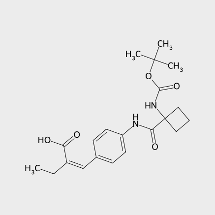 CCC(=Cc1ccc(NC(=O)C2(NC(=O)OC(C)(C)C)CCC2)cc1)C(=O)O